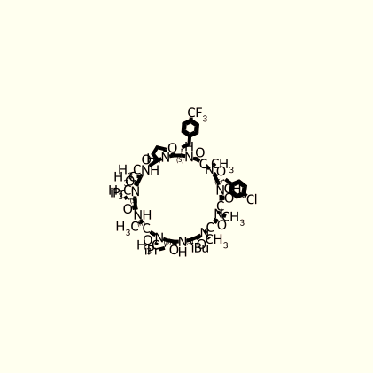 CCC(C)[C@@H]1NC(=O)[C@H](CC(C)C)N(C)C(=O)C[C@@H](C)NC(=O)[C@H](CC(C)C)N(C)C(=O)C(C)(C)NC(=O)[C@@H]2CCCN2C(=O)[C@H](CCc2ccc(C(F)(F)F)cc2)NC(=O)CN(C)C(=O)[C@H](Cc2ccc(Cl)cc2)N(C)C(=O)CN(C)C(=O)CN(C)C1=O